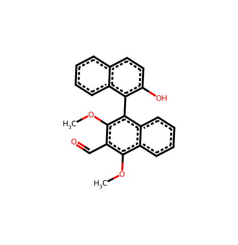 COc1c(C=O)c(OC)c2ccccc2c1-c1c(O)ccc2ccccc12